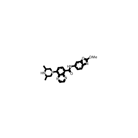 COc1nc2ccc(NC(=O)c3ccc(N4CC(C)NC(C)C4)c4nccnc34)cc2o1